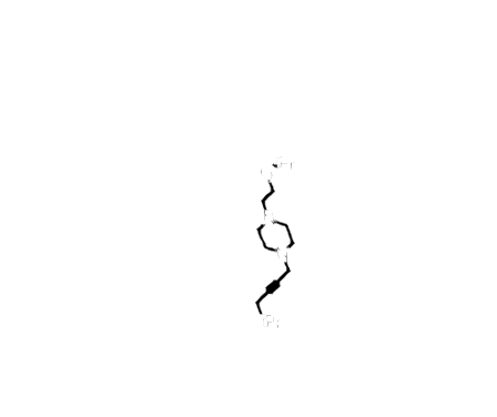 CC(C)CC#CCN1CCN(CCOC(C)C)CC1